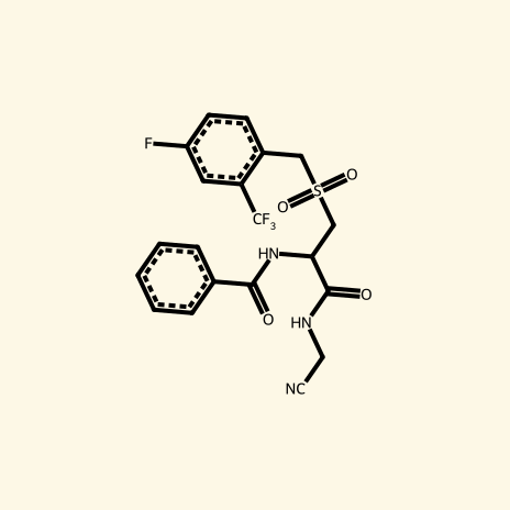 N#CCNC(=O)C(CS(=O)(=O)Cc1ccc(F)cc1C(F)(F)F)NC(=O)c1ccccc1